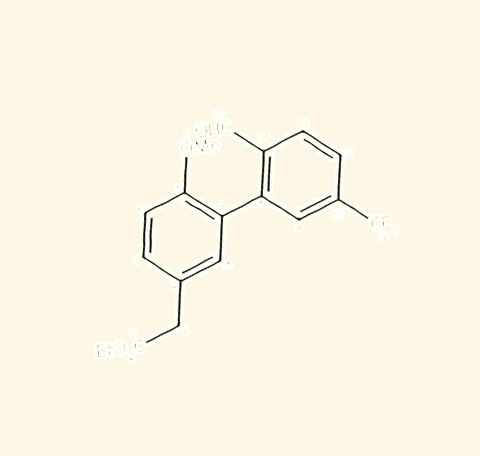 CCOC(=O)Cc1ccc(OC)c(-c2cc(C(F)(F)F)ccc2C=O)c1